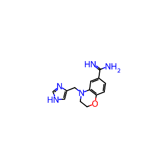 N=C(N)c1ccc2c(c1)N(Cc1c[nH]cn1)CCO2